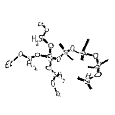 CCO[SiH2]O[Si](O[SiH2]OCC)(O[SiH2]OCC)O[Si](C)(C)O[Si](C)(C)O[Si](C)(C)O[SiH](C)C